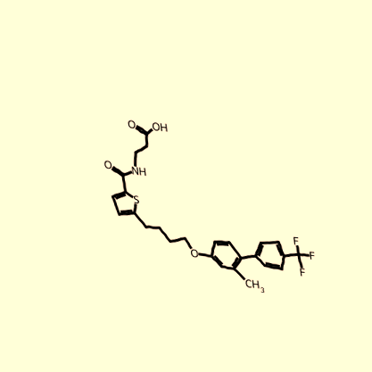 Cc1cc(OCCCCc2ccc(C(=O)NCCC(=O)O)s2)ccc1-c1ccc(C(F)(F)F)cc1